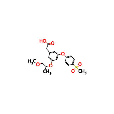 COC[C@H](C)Oc1cc(CC(=O)O)cc(Oc2ccc(S(C)(=O)=O)cc2)c1